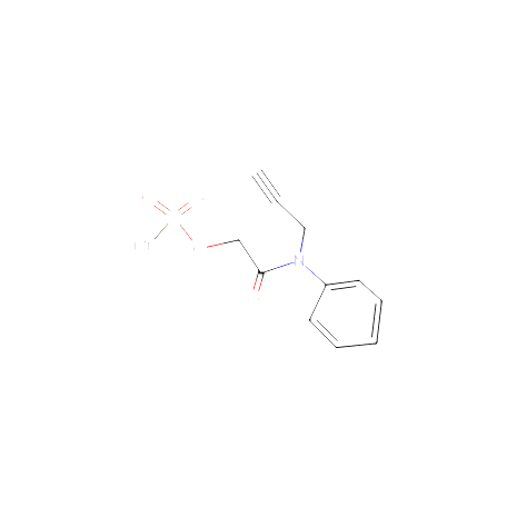 C#CCN(C(=O)COS(=O)(=O)C(C)C)c1ccccc1